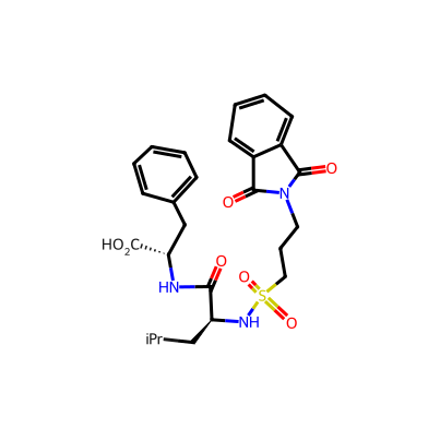 CC(C)C[C@H](NS(=O)(=O)CCCN1C(=O)c2ccccc2C1=O)C(=O)N[C@@H](Cc1ccccc1)C(=O)O